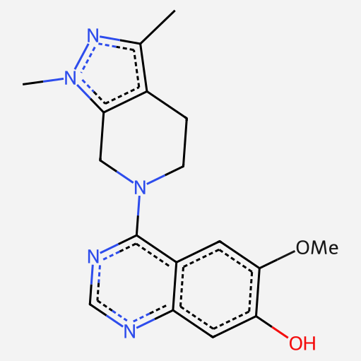 COc1cc2c(N3CCc4c(C)nn(C)c4C3)ncnc2cc1O